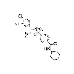 CN(C)CC(NS(=O)(=O)c1ccc(C(=O)NC2CCCCC2)cc1)c1ccc(Cl)c(Cl)c1